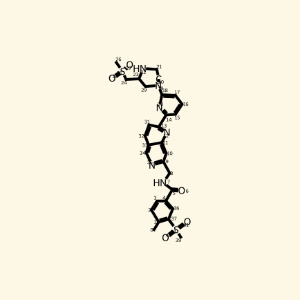 Cc1ccc(C(=O)NCc2cc3nc(-c4cccc(N5CCNC(CS(C)(=O)=O)C5)n4)ccc3cn2)cc1S(C)(=O)=O